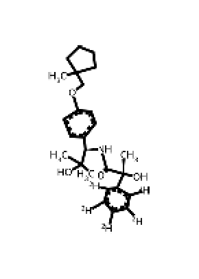 [2H]c1c([2H])c([2H])c([C@@](C)(O)C(=O)N[C@H](c2ccc(OCC3(C)CCCC3)cc2)C(C)(C)O)c([2H])c1[2H]